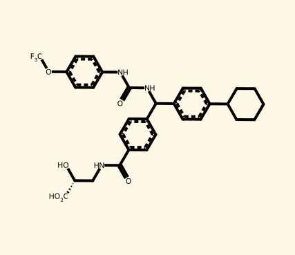 O=C(Nc1ccc(OC(F)(F)F)cc1)NC(c1ccc(C(=O)NC[C@@H](O)C(=O)O)cc1)c1ccc(C2CCCCC2)cc1